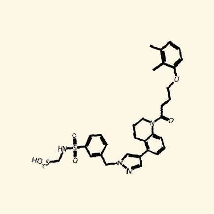 Cc1cccc(OCCCC(=O)N2CCCc3c(-c4cnn(Cc5cccc(S(=O)(=O)NCS(=O)(=O)O)c5)c4)cccc32)c1C